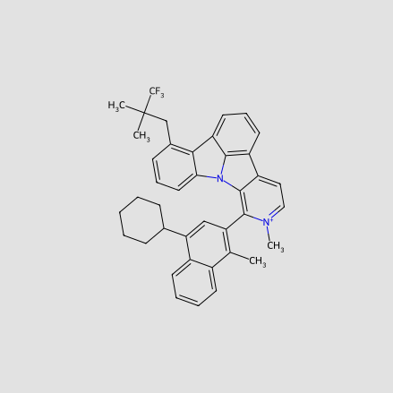 Cc1c(-c2c3c(cc[n+]2C)c2cccc4c5c(CC(C)(C)C(F)(F)F)cccc5n3c24)cc(C2CCCCC2)c2ccccc12